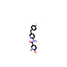 Cn1cc(C(=O)Nc2ccc(Cc3ccc(F)cc3)cn2)ccc1=O